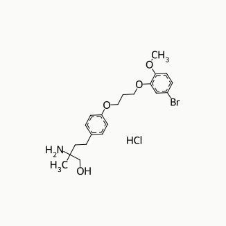 COc1ccc(Br)cc1OCCCOc1ccc(CCC(C)(N)CO)cc1.Cl